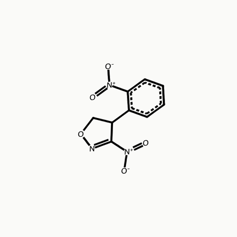 O=[N+]([O-])C1=NOCC1c1ccccc1[N+](=O)[O-]